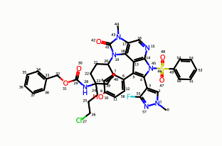 Cn1cc(-c2c(-c3ccc(O)cc3)c3c(ncc4c3n(C3CCC(CCCCl)(NC(=O)OCc5ccccc5)CC3)c(=O)n4C)n2S(=O)(=O)c2ccccc2)c(F)n1